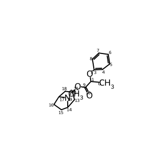 CC(Oc1ccccc1)C(=O)OC1CC2CCC(C1)N2C